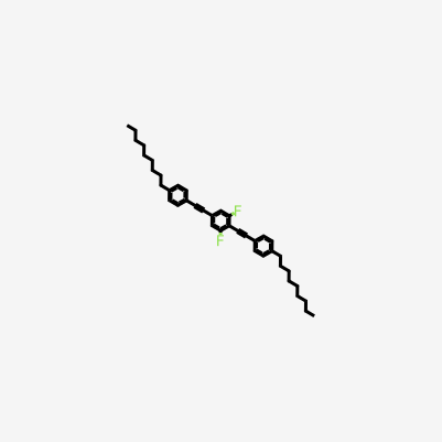 CCCCCCCCCc1ccc(C#Cc2cc(F)c(C#Cc3ccc(CCCCCCCCC)cc3)c(F)c2)cc1